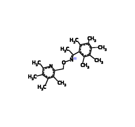 C/C(=N\OCc1nc(C)c(C)c(C)c1C)c1c(C)c(C)c(C)c(C)c1C